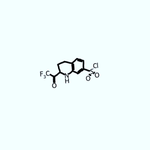 O=C(C1CCc2ccc(S(=O)(=O)Cl)cc2N1)C(F)(F)F